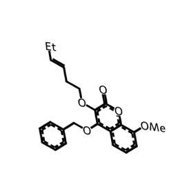 CCC=CCCOc1c(OCc2ccccc2)c2cccc(OC)c2oc1=O